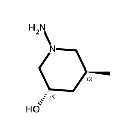 C[C@H]1C[C@H](O)CN(N)C1